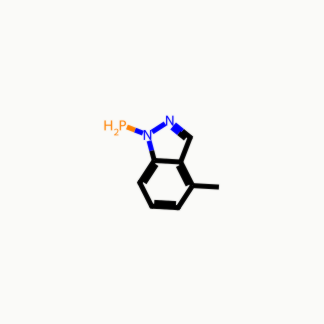 Cc1cccc2c1cnn2P